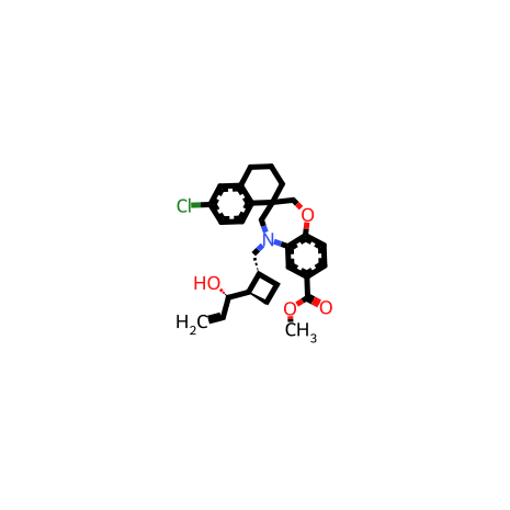 C=C[C@H](O)[C@@H]1CC[C@H]1CN1CC2(CCCc3cc(Cl)ccc32)COc2ccc(C(=O)OC)cc21